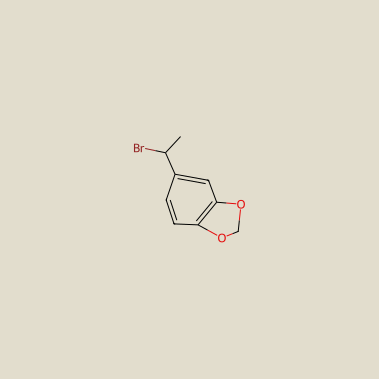 CC(Br)c1ccc2c(c1)OCO2